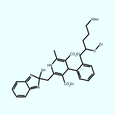 CCCCCCCCCCCCCC(Cc1ccccc1C1C(C(=O)OCC)=C(C)NC(CC2(S)N=c3ccccc3=N2)=C1C(=O)OCC)OCC